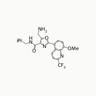 COc1ccc(-c2nc(C(=O)NCC(C)C)c(CN)o2)c2ccc(C(F)(F)F)nc12